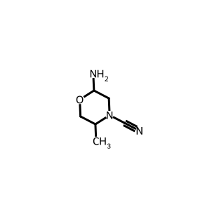 CC1COC(N)CN1C#N